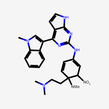 CNC1(CCN(C)C)C=CC(Nc2nc(-c3cn(C)c4ccccc34)c3cc[nH]c3n2)=CC1[N+](=O)[O-]